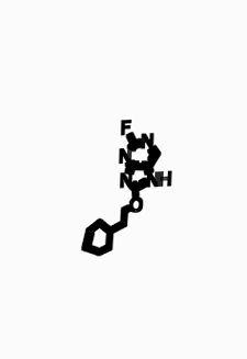 Fc1ncc2[nH]c(OCCC3CC=CCC3)nc2n1